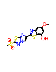 COc1cc(O)c2sc(-c3cn4nc(S(C)(=O)=O)sc4n3)nc2c1